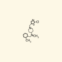 Cc1ccccc1CN(C)C1CCN(Cc2cnc(Cl)s2)CC1